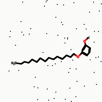 [C]Oc1cccc(OCCCCCCCCCCCCCCC)c1